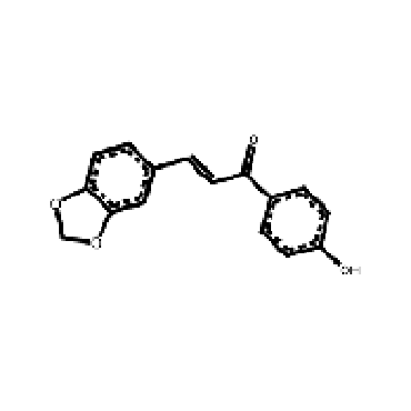 O=C(C=Cc1ccc2c(c1)OCO2)c1ccc(O)cc1